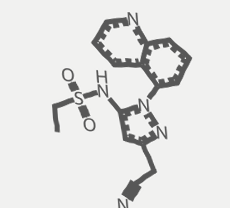 CCS(=O)(=O)Nc1cc(CC#N)nn1-c1cccc2ncccc12